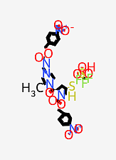 CC1CN(C=NC(=O)OCc2ccc([N+](=O)[O-])cc2)CCN1C(=O)[C@@H]1C[C@H](S)CN1C(=O)OCc1ccc([N+](=O)[O-])cc1.O=S(=O)(O)C(F)(F)F